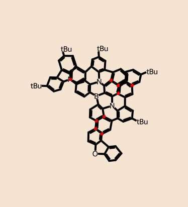 CC(C)(C)c1ccc(-c2cc3c4c(c2)N(c2c(-c5ccccc5)cc(C(C)(C)C)cc2-c2ccccc2)c2cc(-n5c6ccc(C(C)(C)C)cc6c6cc(C(C)(C)C)ccc65)ccc2B4c2ccc(-c4ccc5oc6ccccc6c5c4)cc2N3c2c(-c3ccccc3)cc(C(C)(C)C)cc2-c2ccccc2)cc1